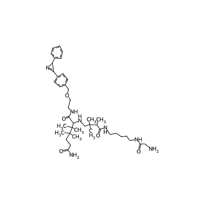 CC(C(=O)NCCCCCNC(=O)CN)C(C)(C)CNC(C(=O)NCCOCc1ccc(C2=NC2c2ccccc2)cc1)C(C)(C)C(C)(C)CCC(N)=O